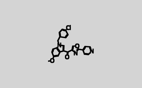 COc1ccc2c(c1)c(C(=O)c1coc(-c3ccncc3)n1)cn2Cc1ccc(Cl)cc1